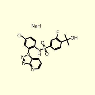 CC(C)(O)c1ccc(S(=O)(=O)Nc2ccc(Cl)cc2-n2nnc3ncccc32)cc1F.[NaH]